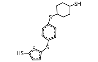 Sc1ccc(Sc2ccc(SC3CCC(S)CC3)cc2)s1